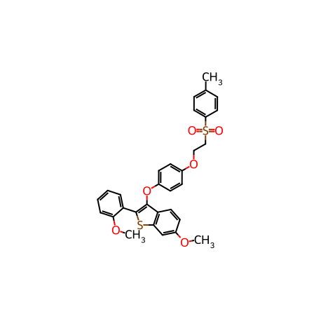 COc1ccc2c(Oc3ccc(OCCS(=O)(=O)c4ccc(C)cc4)cc3)c(-c3ccccc3OC)sc2c1